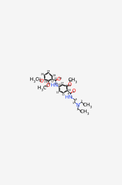 CCN(CC)CCNC(=O)c1ccc(NC(=O)c2cccc(OC)c2OC)cc1OC